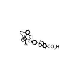 O=C(O)c1ccc2c(c1)CCC(c1ccc(OCc3c(-c4c(Cl)cccc4Cl)noc3C3CC3)cc1)O2